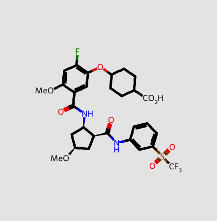 COc1cc(F)c(OC2CCC(C(=O)O)CC2)cc1C(=O)N[C@@H]1C[C@H](OC)C[C@@H]1C(=O)Nc1cccc(S(=O)(=O)C(F)(F)F)c1